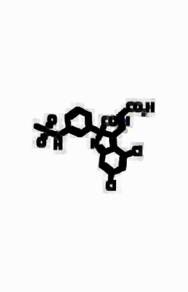 CS(=O)(=O)Nc1cccc(C2(C(=O)O)N=c3cc(Cl)cc(Cl)c3=C2/C=C/C(=O)O)c1